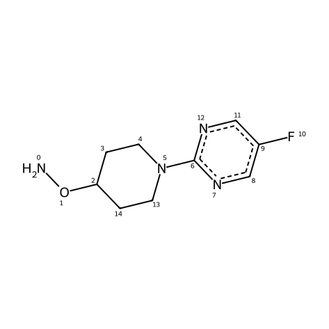 NOC1CCN(c2ncc(F)cn2)CC1